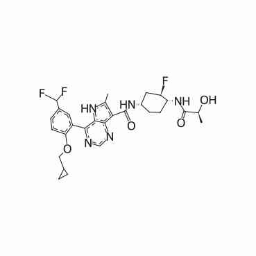 Cc1[nH]c2c(-c3cc(C(F)F)ccc3OCC3CC3)ncnc2c1C(=O)N[C@H]1CC[C@@H](NC(=O)[C@H](C)O)[C@H](F)C1